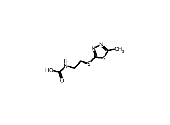 Cc1nnc(SCCNC(=O)O)s1